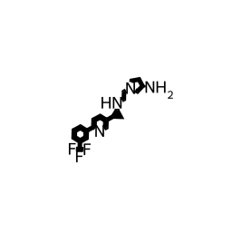 N[C@@H]1CCN(CCNC2CC2c2ccc(-c3cccc(C(F)(F)F)c3)nc2)C1